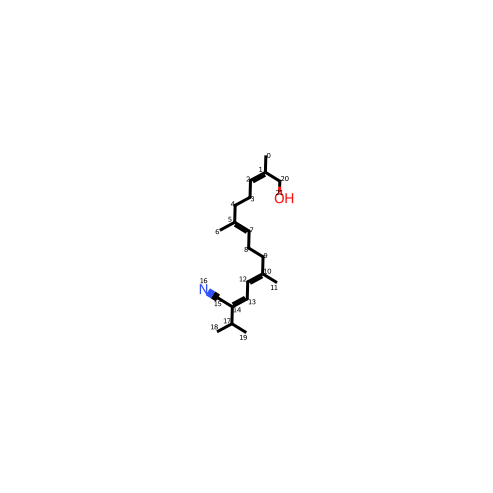 CC(=CCCC(C)=CCCC(C)=CC=C(C#N)C(C)C)CO